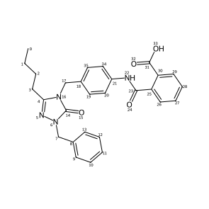 CCCCc1nn(Cc2ccccc2)c(=O)n1Cc1ccc(NC(=O)c2ccccc2C(=O)O)cc1